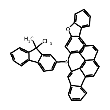 CC1(C)c2ccccc2-c2ccc(N(c3ccc4c(c3)oc3ccccc34)c3cc4ccccc4c4ccc5ccccc5c34)cc21